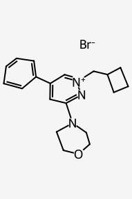 [Br-].c1ccc(-c2cc(N3CCOCC3)n[n+](CC3CCC3)c2)cc1